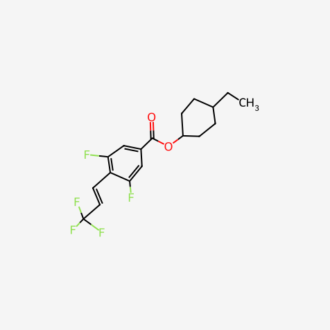 CCC1CCC(OC(=O)c2cc(F)c(/C=C/C(F)(F)F)c(F)c2)CC1